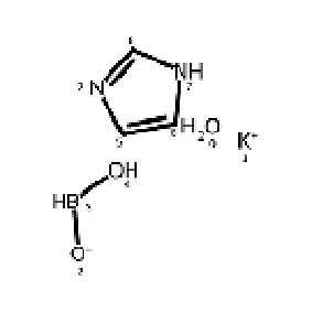 O.[K+].[O-]BO.c1c[nH]cn1